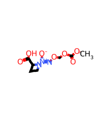 COC(=O)OCON=[N+]([O-])N1CCC1C(=O)O